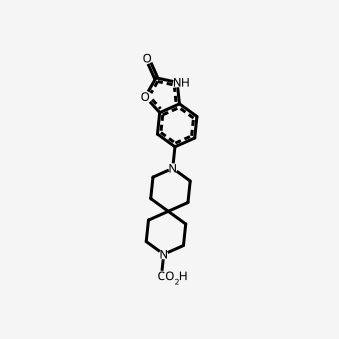 O=C(O)N1CCC2(CC1)CCN(c1ccc3[nH]c(=O)oc3c1)CC2